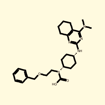 CN(C)c1nc(N[C@H]2CC[C@@H](N(CCOCc3ccccc3)C(=O)O)CC2)nc2c1CCCC2